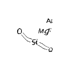 O=[Si]=O.[Al].[Mg]